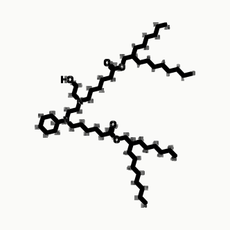 CCCCCCCCC(CCCCCC)COC(=O)CCCCCN(CCO)CCN(CCCCCC(=O)OCC(CCCCCC)CCCCCCCC)C1CCCCC1